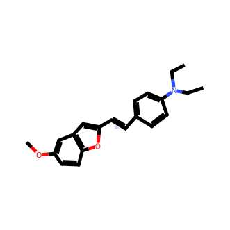 CCN(CC)c1ccc(/C=C/c2cc3cc(OC)ccc3o2)cc1